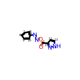 O=C(ON=Nc1ccccc1)c1cc[nH]n1